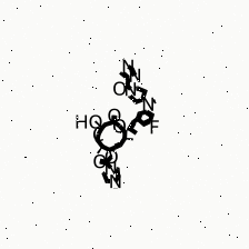 C/C(=C\c1cc(F)cc(N(C)C2CCN(C(=O)c3cn(C)cn3)CC2)c1)[C@H]1OC(=O)C[C@H](O)CC[C@H](C)[C@H](OC(=O)N2CCN(C)CC2)/C=C/[C@@H]1C